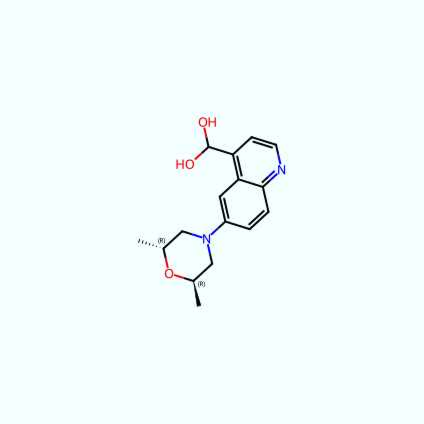 C[C@@H]1CN(c2ccc3nccc(C(O)O)c3c2)C[C@@H](C)O1